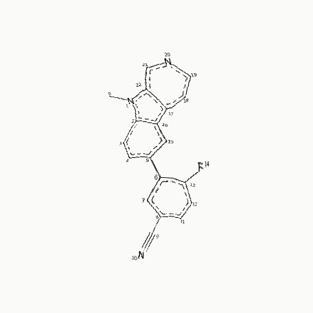 Cn1c2ccc(-c3cc(C#N)ccc3F)cc2c2ccncc21